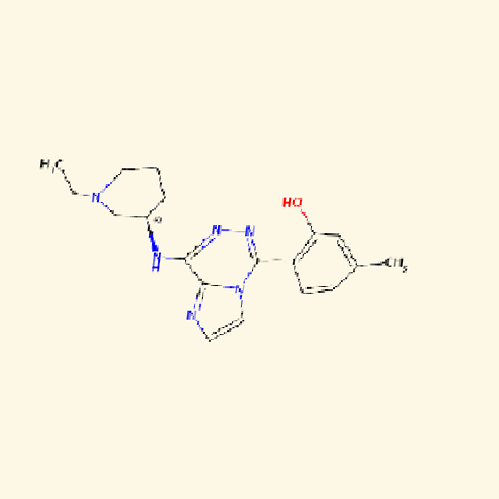 CCN1CCC[C@@H](Nc2nnc(-c3ccc(C)cc3O)n3ccnc23)C1